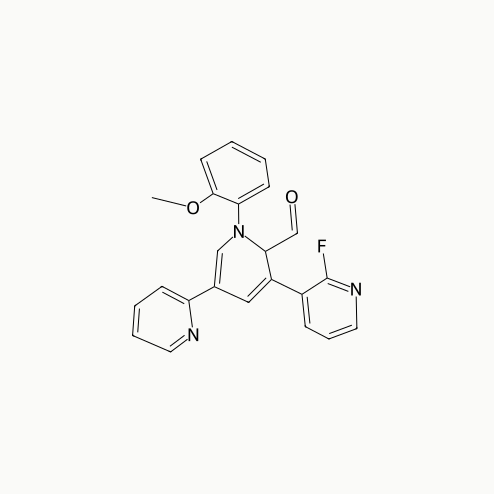 COc1ccccc1N1C=C(c2ccccn2)C=C(c2cccnc2F)C1C=O